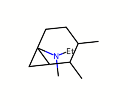 CCN(C)C12CCC(C)C(C)C1C2